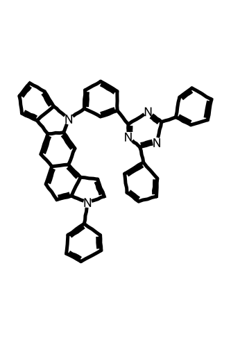 c1ccc(-c2nc(-c3ccccc3)nc(-c3cccc(-n4c5ccccc5c5cc6ccc7c(ccn7-c7ccccc7)c6cc54)c3)n2)cc1